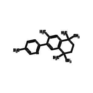 Cc1ccc(-c2cc3c(cc2C)C(C)(C)CCC3(C)C)nc1